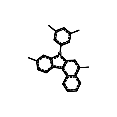 Cc1cc(C)cc(-n2c3cc(C)ccc3c3c4ccccc4c(C)cc32)c1